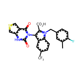 Cc1cc(Cn2c(C(=O)O)c(-n3c(=O)[nH]c4cscc4c3=O)c3cc(C(F)(F)F)ccc32)ccc1F